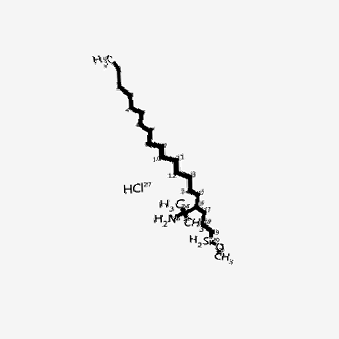 CCCCCCCCCCCCCCCCC(CCC[SiH2]OC)C(C)(C)N.Cl